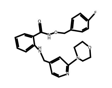 O=C(NOCc1ccc(F)cc1)c1ccccc1NCc1ccnc(N2CCOCC2)c1